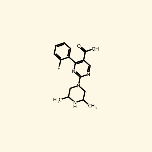 CC1CN(c2ncc(C(=O)O)c(-c3ccccc3F)n2)CC(C)N1